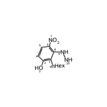 CCCCCCc1c(O)ccc([N+](=O)[O-])c1N[NH]